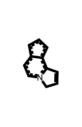 C1=Cc2c3cccc-3ccn2C1